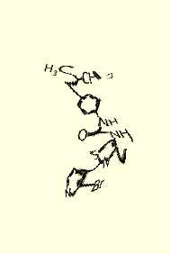 CC(C)Cc1ccc(NC(=O)Nc2nnc(-c3ccncc3Br)s2)cc1